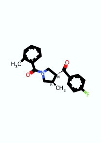 Cc1ccccc1C(=O)N1C[C@H](C(=O)c2ccc(F)cc2)[C@@H](C)C1